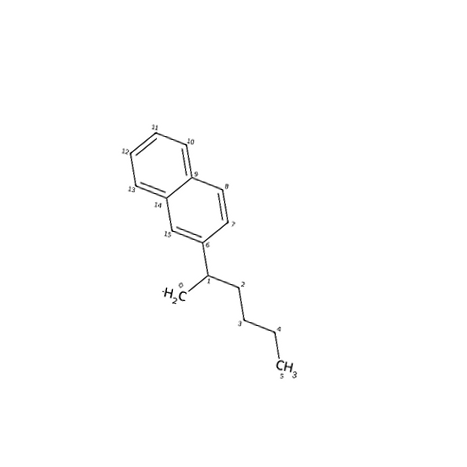 [CH2]C(CCCC)c1ccc2ccccc2c1